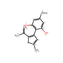 C=C(C)C1=C(c2c(O)cc(CCCCC)cc2O)C=C(C)C1